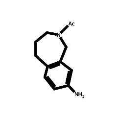 CC(=O)N1CCCc2ccc(N)cc2C1